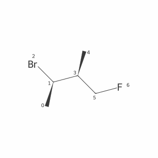 C[C@@H](Br)[C@@H](C)CF